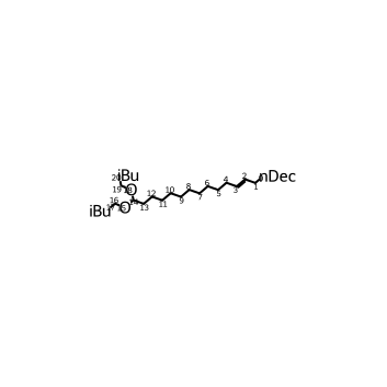 CCCCCCCCCCCC=CCCCCCCCCCCC(OCC(C)CC)OCC(C)CC